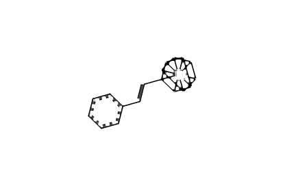 C(=C[C]12[CH]3[CH]4[CH]5[CH]1[Fe]45321678[CH]2[CH]1[CH]6[CH]7[CH]28)c1ccccc1